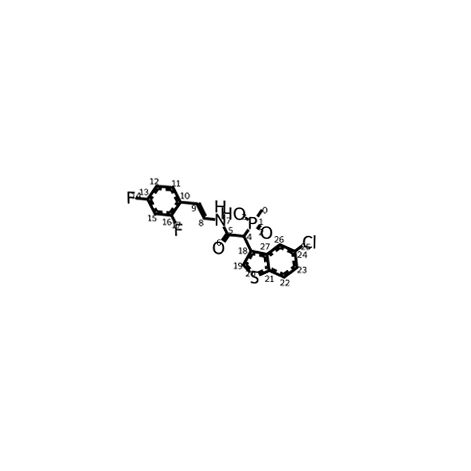 CP(=O)(O)C(C(=O)NC=Cc1ccc(F)cc1F)c1csc2ccc(Cl)cc12